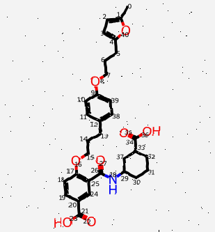 Cc1ccc(CCCOc2ccc(CCCOc3ccc(C(=O)O)cc3C(=O)NC3CCCC(C(=O)O)C3)cc2)o1